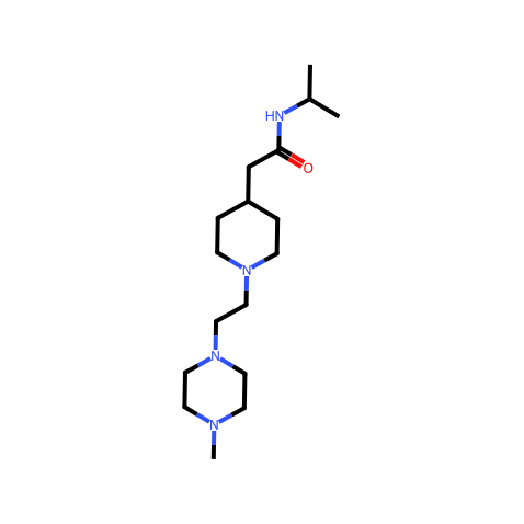 CC(C)NC(=O)CC1CCN(CCN2CCN(C)CC2)CC1